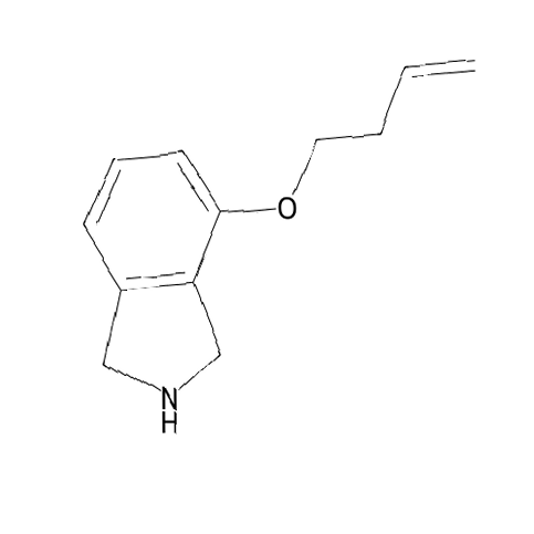 C=CCCOc1cccc2c1CNC2